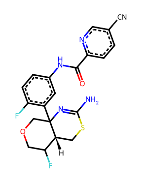 N#Cc1ccc(C(=O)Nc2ccc(F)c(C34COCC(F)[C@H]3CSC(N)=N4)c2)nc1